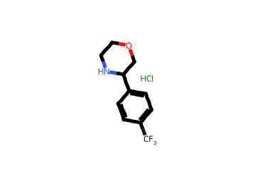 Cl.FC(F)(F)c1ccc(C2COCCN2)cc1